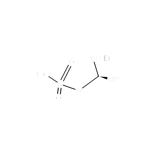 CCC[C@@H](OS(=O)(=O)C(F)(F)F)C(=O)OCC